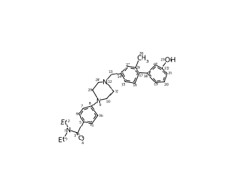 CCN(CC)C(=O)c1ccc(N2CCN(Cc3ccc(-c4cccc(O)c4)c(C)c3)CC2)cc1